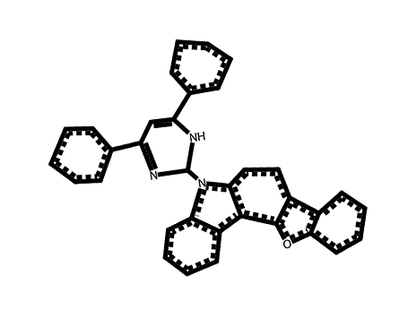 C1=C(c2ccccc2)NC(n2c3ccccc3c3c4oc5ccccc5c4ccc32)N=C1c1ccccc1